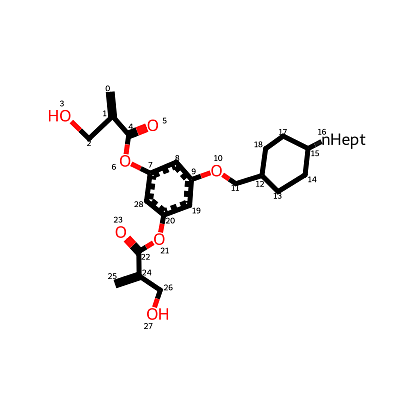 C=C(CO)C(=O)Oc1cc(OCC2CCC(CCCCCCC)CC2)cc(OC(=O)C(=C)CO)c1